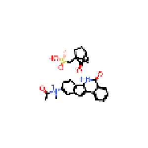 CC(=O)[N+](C)(C)c1ccc2c(c1)C=C1c3ccccc3C(=O)NC12.CC1(C)C2CCC1(CS(=O)(=O)O)C(=O)C2